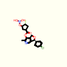 Cc1ncc2c(c1OC(=O)C1CC(ON(O)O)[C@H](F)C1)CO[C@H]2c1ccc(Cl)cc1